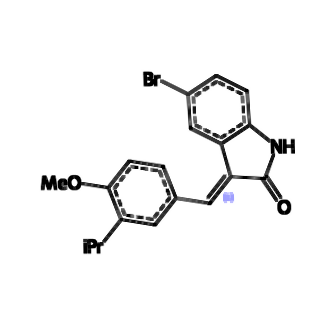 COc1ccc(/C=C2/C(=O)Nc3ccc(Br)cc32)cc1C(C)C